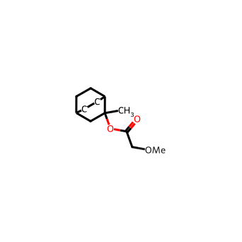 COCC(=O)OC1(C)CC2CCC1CC2